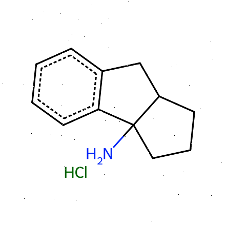 Cl.NC12CCCC1Cc1ccccc12